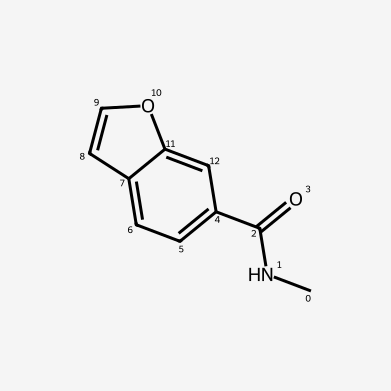 CNC(=O)c1ccc2ccoc2c1